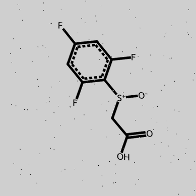 O=C(O)C[S+]([O-])c1c(F)cc(F)cc1F